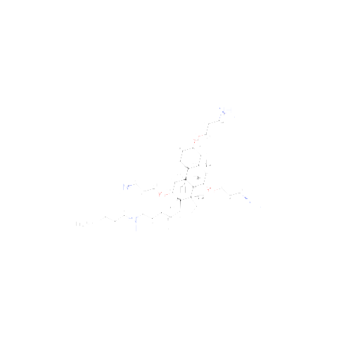 CCCCCCCCCCCCCNCCC[C@@H](C)[C@H]1CC[C@H]2[C@@H]3[C@H](OCCCN)C[C@@H]4C[C@H](OCCCN)CC[C@]4(C)[C@H]3C[C@H](OCCCN)[C@]12C